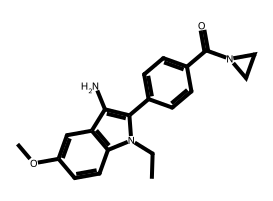 CCn1c(-c2ccc(C(=O)N3CC3)cc2)c(N)c2cc(OC)ccc21